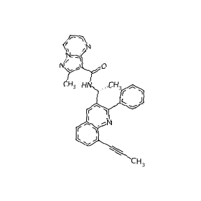 CC#Cc1cccc2cc([C@@H](C)NC(=O)c3c(C)nn4cccnc34)c(-c3ccccc3)nc12